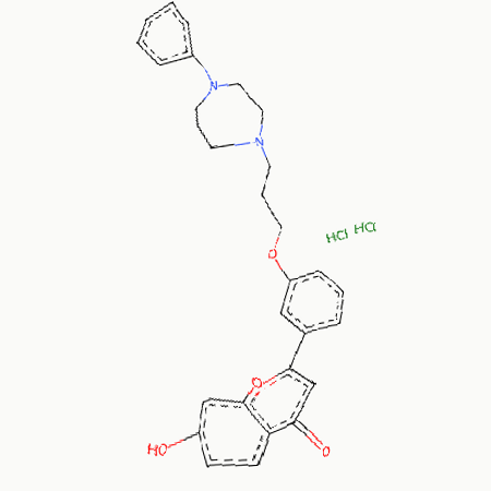 Cl.Cl.O=c1cc(-c2cccc(OCCCN3CCN(c4ccccc4)CC3)c2)oc2cc(O)ccc12